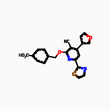 N#Cc1c(-c2ccoc2)cc(-c2nccs2)nc1OCc1ccc(C(=O)O)cc1